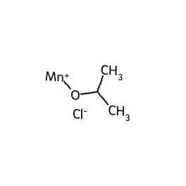 CC(C)[O][Mn+].[Cl-]